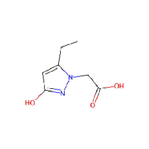 CCc1cc(O)nn1CC(=O)O